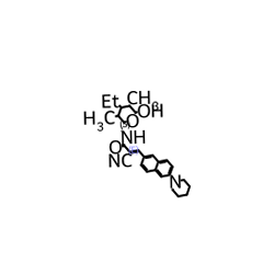 CCC1C(C)C(O)O[C@H](CNC(=O)/C(C#N)=C/c2ccc3cc(N4CCCCC4)ccc3c2)C1C